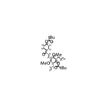 C=CCc1c(OC)c(C=CC(=O)c2ccc(OC(=O)C(C)(C)C)cc2)c(OC)c(CC=C)c1OC(=O)C(C)(C)C